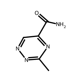 Cc1nncc(C(N)=O)n1